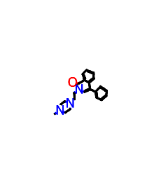 CN1CCN(CCn2cc(-c3ccccc3)c3ccccc3c2=O)CC1